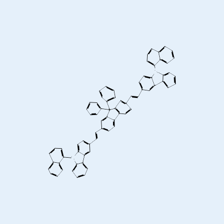 C(=C\c1ccc2c(c1)c1ccccc1n2-c1cccc2ccccc12)/c1ccc2c(c1)C(c1ccccc1)(c1ccccc1)c1cc(/C=C/c3ccc4c(c3)c3ccccc3n4-c3cccc4ccccc34)ccc1-2